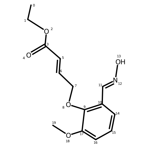 CCOC(=O)C=CCOc1c(C=NO)cccc1OC